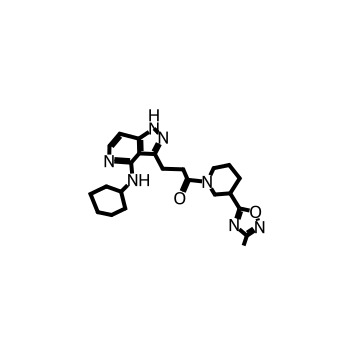 Cc1noc(C2CCCN(C(=O)CCc3n[nH]c4ccnc(NC5CCCCC5)c34)C2)n1